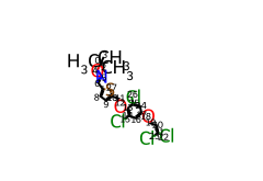 CC(C)(C)ON=Cc1ccc(COc2c(Cl)cc(OCC=C(Cl)Cl)cc2Cl)s1